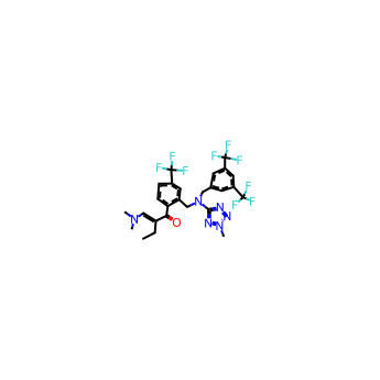 CCC(=CN(C)C)C(=O)c1ccc(C(F)(F)F)cc1CN(Cc1cc(C(F)(F)F)cc(C(F)(F)F)c1)c1nnn(C)n1